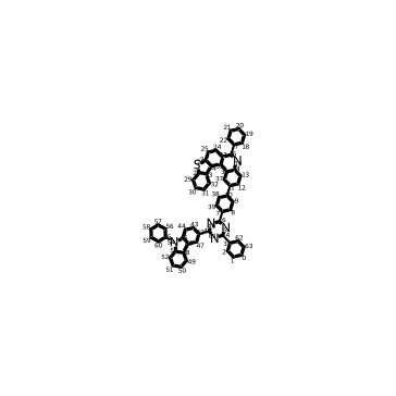 c1ccc(-c2nc(-c3ccc(-c4ccc5nc(-c6ccccc6)c6ccc7sc8ccccc8c7c6c5c4)cc3)nc(-c3ccc4c(c3)c3ccccc3n4-c3ccccc3)n2)cc1